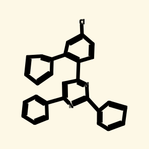 Clc1ccc(-c2cc(-c3ccccc3)nc(-c3ccccc3)n2)c(-c2ccccc2)c1